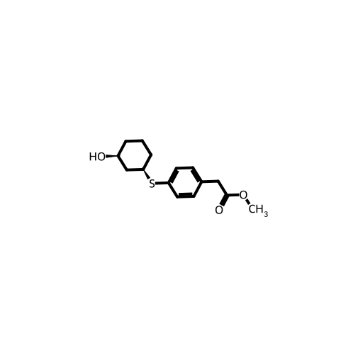 COC(=O)Cc1ccc(S[C@@H]2CCC[C@H](O)C2)cc1